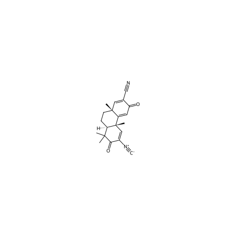 [C-]#[N+]C1=C[C@@]2(C)C3=CC(=O)C(C#N)=C[C@@]3(C)CC[C@@H]2C(C)(C)C1=O